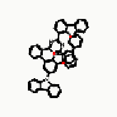 c1ccc(-c2ccccc2-c2nc(-c3ccccc3-c3cc(-n4c5ccccc5c5ccccc54)cc4c3sc3ccccc34)nc(-c3cccc4c3oc3ccccc34)n2)cc1